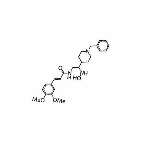 COc1ccc(C=CC(=O)NCC(NO)C2CCN(Cc3ccccc3)CC2)cc1OC